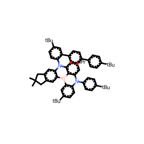 CC(C)c1cc2c3c(c1)N(c1ccc(C(C)(C)C)cc1-c1ccc(-c4ccc(C(C)(C)C)cc4)cc1)c1cc4c(cc1B3c1cc(C(C)(C)C)ccc1N2c1ccc(C(C)(C)C)cc1)CC(C)(C)C4